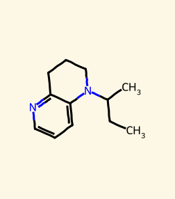 CCC(C)N1CCCc2ncccc21